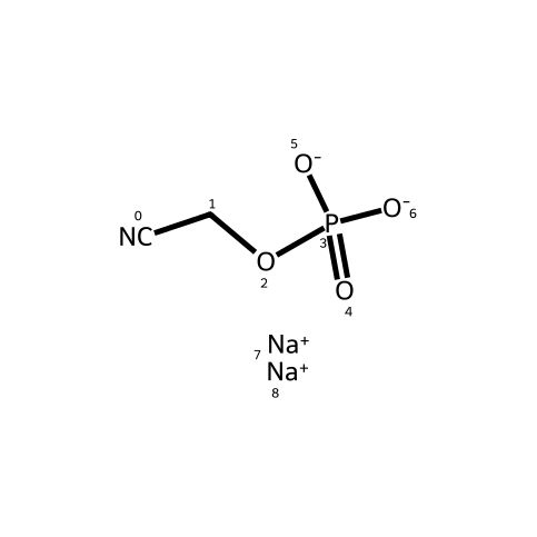 N#CCOP(=O)([O-])[O-].[Na+].[Na+]